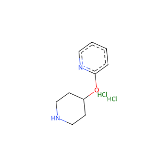 Cl.Cl.c1ccc(OC2CCNCC2)nc1